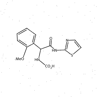 COc1ccccc1C(NC(=O)O)C(=O)Nc1nccs1